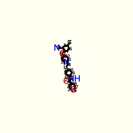 N#Cc1cc(F)ccc1OC1CCN(CC[C@H]2CC[C@H](NC(=O)C3CCOCC3)CC2)CC1